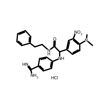 CN(C)c1ccc(C(Nc2ccc(C(=N)N)cc2)C(=O)NCCc2ccccc2)cc1[N+](=O)[O-].Cl